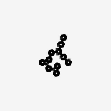 c1ccc(-c2ccc(-c3cc(-c4ccc(-c5ccccn5)cn4)nc(-c4cccc(-c5ccc6c(c5)c5ccccc5n6-c5cccc(-n6c7ccccc7c7ccccc76)c5)c4)n3)nc2)nc1